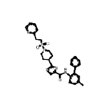 Cc1ccc(NC(=O)c2csc(C3CCN(S(=O)(=O)CCc4ccccn4)CC3)n2)c(-c2ccccc2)c1